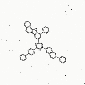 c1ccc(-c2ccc(-c3nc(-c4ccc5cc(-c6ccccc6)ccc5c4)nc(-c4cc(-c5ccccc5)c5oc6c7ccccc7ccc6c5c4)n3)cc2)cc1